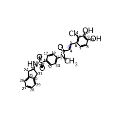 CN(C(=O)/C=C/c1ccc(O)c(O)c1Cl)c1ccc(S(=O)(=O)NC2Cc3ccccc3C2)cc1